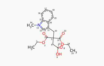 CCOC(=O)C(CC(=O)O)(Cc1cn(C)c2ccccc12)C(=O)OCC